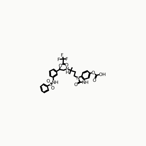 CC(C)(CCn1c(=O)[nH]c2cc(OC(=O)O)ccc21)NCC(OC(=O)C(F)(F)F)c1cccc(NS(=O)(=O)c2ccccc2)c1